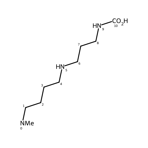 CNCCCCNCCCNC(=O)O